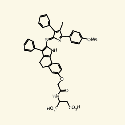 COc1ccc(C2=NC(=Nc3[nH]c4c(c3-c3ccccc3)CCc3cc(OCC(=O)NC(CC(=O)O)C(=O)O)ccc3-4)C(c3ccccc3)=C2I)cc1